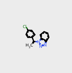 C=C(c1ccc(Cl)cc1)n1nnc2ccccc21